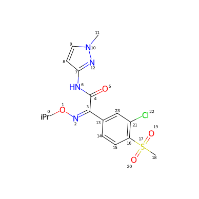 CC(C)ON=C(C(=O)Nc1ccn(C)n1)c1ccc(S(C)(=O)=O)c(Cl)c1